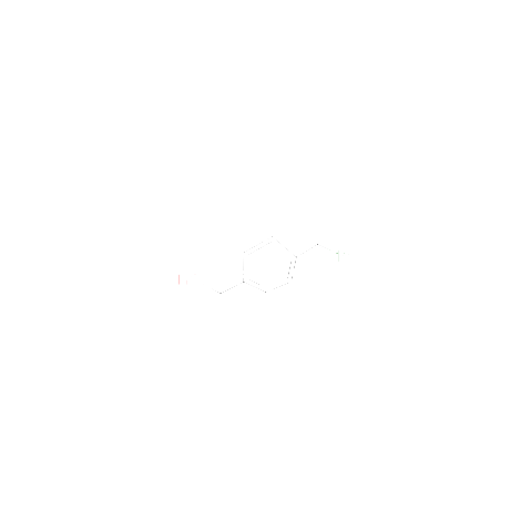 OCc1[c]cc(CBr)cc1